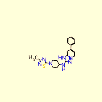 Cc1nsc(N2CCC(NC3=NN4CC=C(c5ccccc5)C=C4N3)CC2)n1